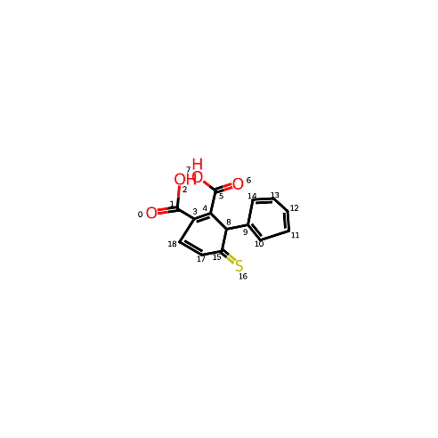 O=C(O)C1=C(C(=O)O)C(c2ccccc2)C(=S)C=C1